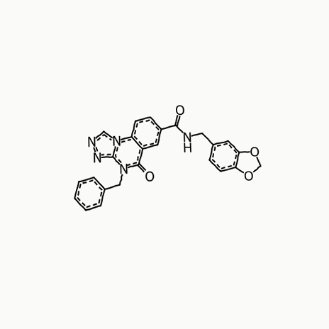 O=C(NCc1ccc2c(c1)OCO2)c1ccc2c(c1)c(=O)n(Cc1ccccc1)c1nncn21